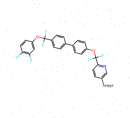 CCCCCCCc1ccc(C(F)(F)Oc2ccc(-c3ccc(C(F)(F)Oc4ccc(F)c(F)c4)cc3)cc2)nc1